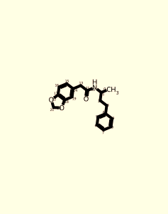 CC(CCc1ccccc1)NC(=O)Cc1ccc2c(c1)OCO2